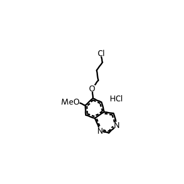 COc1cc2ncncc2cc1OCCCCl.Cl